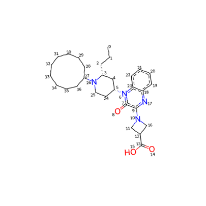 CCC[C@@H]1C[C@H](n2c(=O)c(N3CC(C(=O)O)C3)nc3ccccc32)CCN1C1CCCCCCCCC1